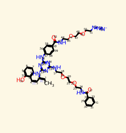 C/C=C(\C=C/c1ccccc1O)Nc1nc(NCCOCCOCCNC(=O)c2ccccc2)nc(Nc2ccc(C(=O)NCCOCCOCCN=[N+]=[N-])cc2)n1